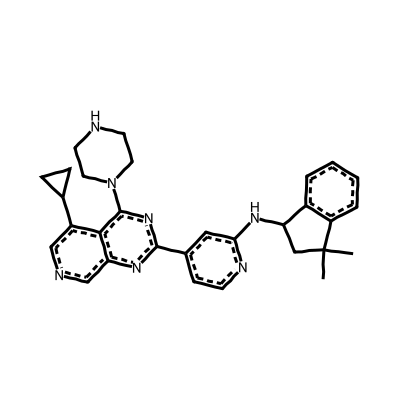 CC1(C)CC(Nc2cc(-c3nc(N4CCNCC4)c4c(C5CC5)cncc4n3)ccn2)c2ccccc21